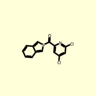 O=C(c1cc(Cl)cc(Cl)n1)n1cc2ccccc2c1